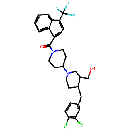 O=C(c1ccc(C(F)(F)F)c2ccccc12)N1CCC(N2CCC(Cc3ccc(Cl)c(Cl)c3)[C@H](CO)C2)CC1